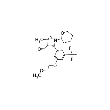 COCCOc1cc(-c2c(C=O)c(C)nn2C2CCCCO2)cc(C(F)(F)F)c1